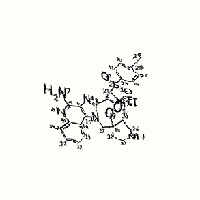 CCOCc1nc2c(N)nc3ccccc3c2n1CC1(OCCS(=O)(=O)c2ccc(C)cc2)CCNCC1